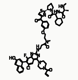 C=CC(=O)N1CCN(c2nc(NCCC(=O)N(C)CCOc3cccc(C(=O)c4csc([C@@H]5CCCN5C(=O)C(NC(=O)[C@H](C)NC)C5CCCCC5)n4)c3)nc3c(F)c(-c4cc(O)cc5ccccc45)c(Cl)cc23)CC1